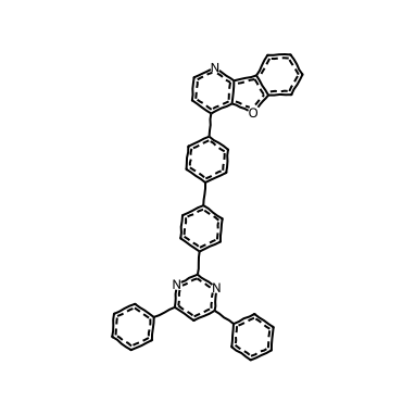 c1ccc(-c2cc(-c3ccccc3)nc(-c3ccc(-c4ccc(-c5ccnc6c5oc5ccccc56)cc4)cc3)n2)cc1